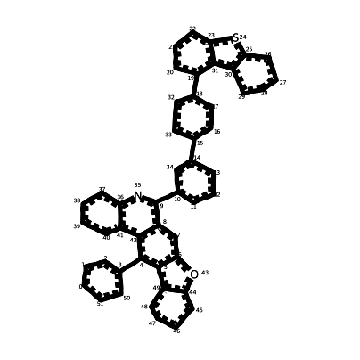 c1ccc(-c2c3c(cc4c(-c5cccc(-c6ccc(-c7cccc8sc9ccccc9c78)cc6)c5)nc5ccccc5c24)oc2ccccc23)cc1